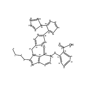 CCCCc1nc2ccn(Cc3ccccc3C(=O)O)c(=O)c2n1Cc1ccc(-c2ccccc2-n2cnnn2)cc1